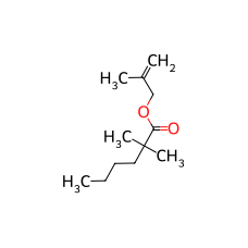 C=C(C)COC(=O)C(C)(C)CCCC